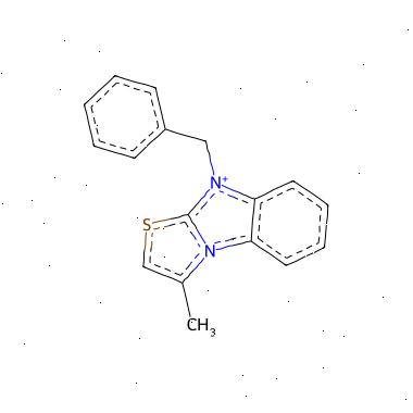 Cc1csc2n1c1ccccc1[n+]2Cc1ccccc1